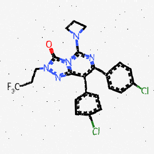 O=c1n(CCC(F)(F)F)nc2c(-c3ccc(Cl)cc3)c(-c3ccc(Cl)cc3)nc(N3CCC3)n12